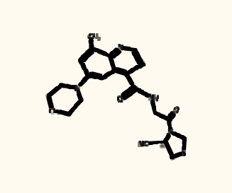 Cc1cc(N2CCOCC2)cc2c(C(=O)NCC(=O)N3CSC[C@H]3C#N)ccnc12